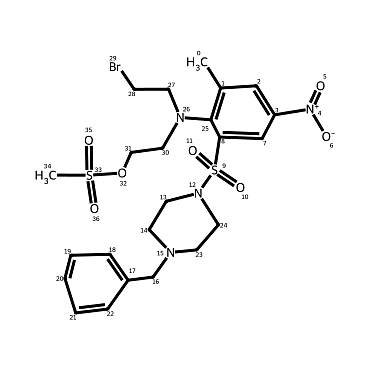 Cc1cc([N+](=O)[O-])cc(S(=O)(=O)N2CCN(Cc3ccccc3)CC2)c1N(CCBr)CCOS(C)(=O)=O